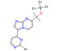 CC[Si](CC)(CC)OC(C)(C)c1ccn2c(-c3ccnc(C(C)=O)n3)cnc2n1